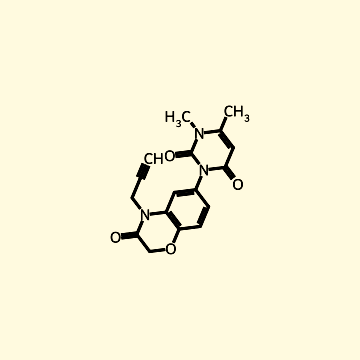 C#CCN1C(=O)COc2ccc(-n3c(=O)cc(C)n(C)c3=O)cc21